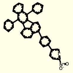 O=[N+]([O-])c1ccc(-c2ccc(-c3ccc4c5c(cccc35)-c3c-4c(-c4ccccc4)c4ccccc4c3-c3ccccc3)cc2)cc1